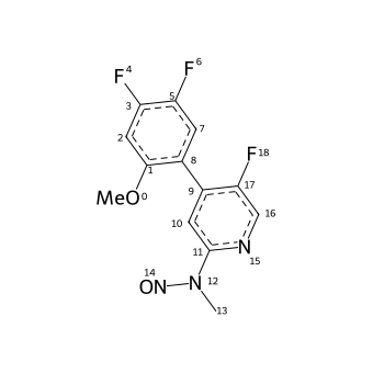 COc1cc(F)c(F)cc1-c1cc(N(C)N=O)ncc1F